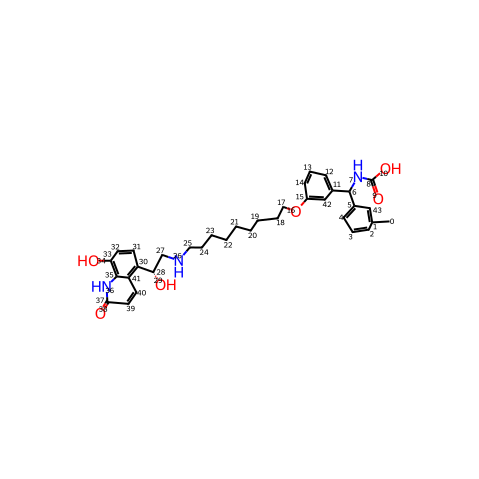 Cc1cccc(C(NC(=O)O)c2cccc(OCCCCCCCCCNC[C@H](O)c3ccc(O)c4[nH]c(=O)ccc34)c2)c1